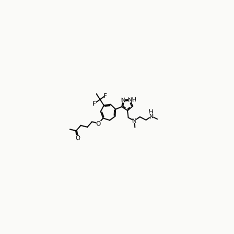 CNCCN(C)Cc1c[nH]nc1C1=CCC(OCCCC(C)=O)=CC(C(C)(F)F)=C1